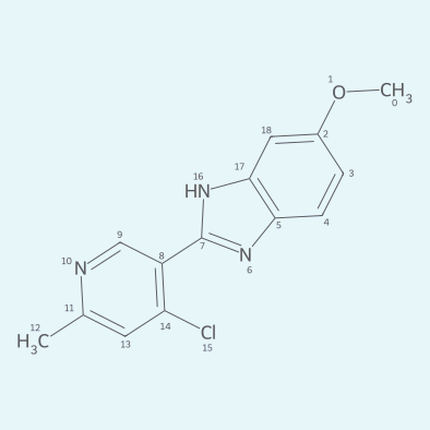 COc1ccc2nc(-c3cnc(C)cc3Cl)[nH]c2c1